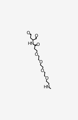 CNCCOCCOCCOCCOCCC(=O)NC(C=O)CC=O